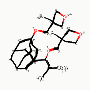 CCCC1(COC(=C(C)C(=O)O)C23CC4CC(CC(OCC5(CCC)COC5)(C4)C2)C3)COC1